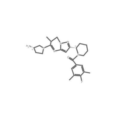 Cc1cc(C(=O)N2CCCC[C@H]2c2cc3n(n2)CC(C)C(N2CC[C@H](N)C2)=N3)cc(C)c1F